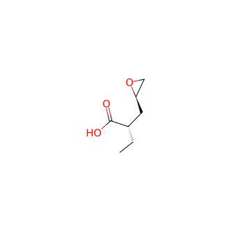 CC[C@@H](C[C@@H]1CO1)C(=O)O